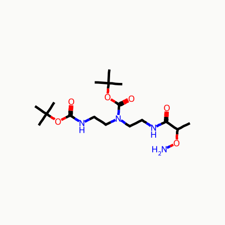 CC(ON)C(=O)NCCN(CCNC(=O)OC(C)(C)C)C(=O)OC(C)(C)C